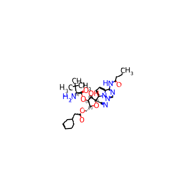 CCCC(=O)Nc1ncnn2c([C@]3(C#N)O[C@H](COC(=O)CC4CCCCC4)[C@@H](OC(=O)[C@@H](N)C(C)(C)C)[C@H]3O)ccc12